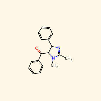 CC1=NC(c2ccccc2)C(C(=O)c2ccccc2)N1C